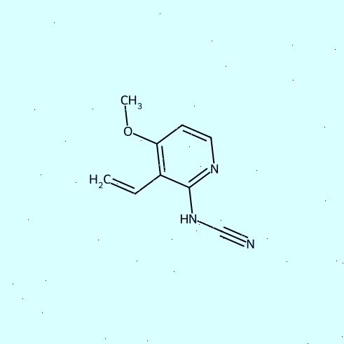 C=Cc1c(OC)ccnc1NC#N